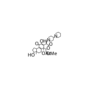 COCC1OC(=O)C(=CN2CCC(N3CCCCC3)CC2)C2=C(O)C(=O)C3=C(C(OC(C)=O)CC4(C)C(O)CCC34)C21C